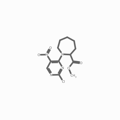 COC(=O)C1CCCCCN1c1nc(Cl)ncc1[N+](=O)[O-]